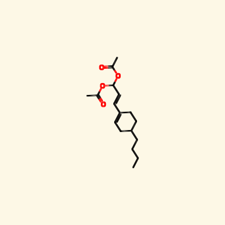 CCCCC1CC=C(C=CC(OC(C)=O)OC(C)=O)CC1